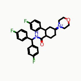 O=C(NC(c1ccc(F)cc1)c1ccc(F)cc1)C1CCC(=[N+]2CCOCC2)CC1c1ccc(F)cc1